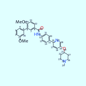 COc1cccc(-c2cc(C(=O)Nc3ccc(-c4ccc(OC5CCN(C)CC5)cn4)cc3)ccc2OC)c1